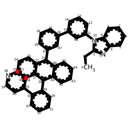 CCc1nc2ccccc2n1-c1cccc(-c2cccc(-c3c4ccccc4c(-c4ccccc4-c4ccncc4)c4ccccc34)c2)c1